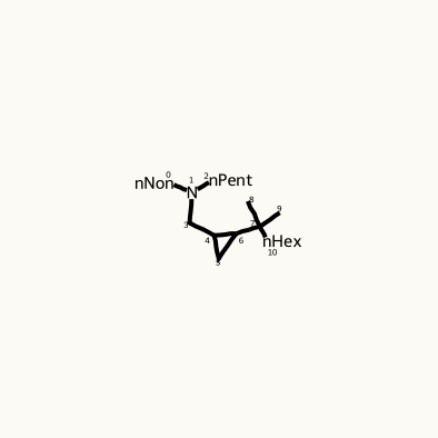 CCCCCCCCCN(CCCCC)CC1CC1C(C)(C)CCCCCC